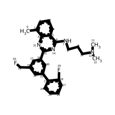 Cc1cccc2c(NCCCN(C)C)nc(-c3cc(CF)cc(-c4ccccc4F)c3)nc12